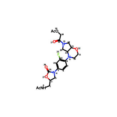 CC(=O)NCC1CN(c2ccc(N3CCOC4CN(C(=O)COC(C)=O)CC43)c(F)c2)C(=O)O1